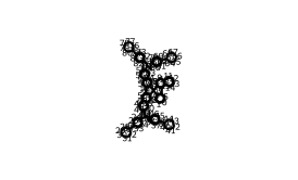 c1ccc2c(c1)-c1c(ccc3ccccc13)C21c2cc3cc(N(c4ccc(C5CCCCC5)cc4)c4ccc(C5CCCCC5)cc4)ccc3cc2-c2cc3ccc(N(c4ccc(C5CCCCC5)cc4)c4ccc(C5CCCCC5)cc4)cc3cc21